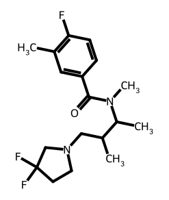 Cc1cc(C(=O)N(C)C(C)C(C)CN2CCC(F)(F)C2)ccc1F